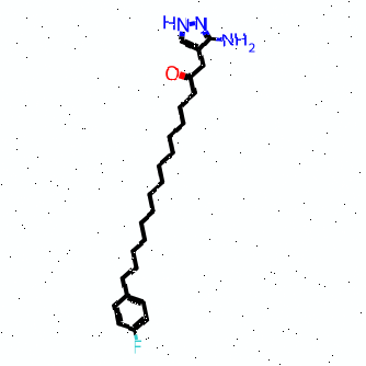 Nc1n[nH]cc1CC(=O)CCCCCCCCCCCCCCc1ccc(F)cc1